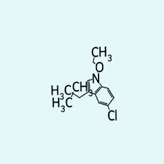 CCOn1cc(CC(C)(C)C)c2cc(Cl)ccc21